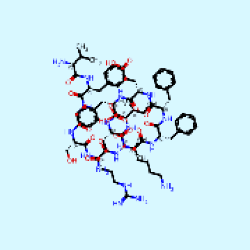 CC[C@H](C)[C@H](NC(=O)[C@@H](NC(=O)[C@H](CCCNC(=N)N)NC(=O)[C@H](CO)NC(=O)CNC(=O)[C@H](Cc1ccccc1)NC(=O)[C@@H](N)C(C)C)C(C)C)C(=O)N[C@@H](CCC(N)=O)C(=O)N[C@@H](CCCCN)C(=O)N[C@@H](Cc1ccccc1)C(=O)N[C@@H](Cc1ccccc1)C(=O)N[C@@H](CCC(=O)O)C(=O)N[C@@H](Cc1ccccc1)C(=O)O